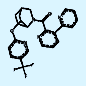 O=C(c1ncccc1-c1ccccn1)N1CC2CCC1C(Oc1ccc(C(F)(F)F)cn1)C2